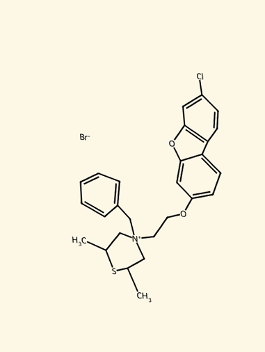 CC1C[N+](CCOc2ccc3c(c2)oc2cc(Cl)ccc23)(Cc2ccccc2)CC(C)S1.[Br-]